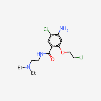 CCN(CC)CCNC(=O)c1cc(Cl)c(N)cc1OCCCl